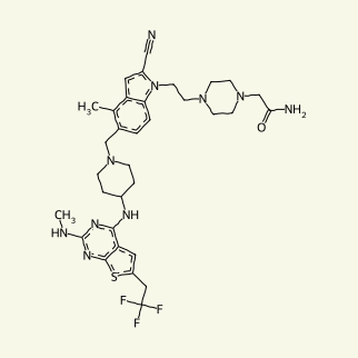 CNc1nc(NC2CCN(Cc3ccc4c(cc(C#N)n4CCN4CCN(CC(N)=O)CC4)c3C)CC2)c2cc(CC(F)(F)F)sc2n1